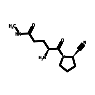 CNC(=O)CC[C@H](N)C(=O)N1CCC[C@H]1C#N